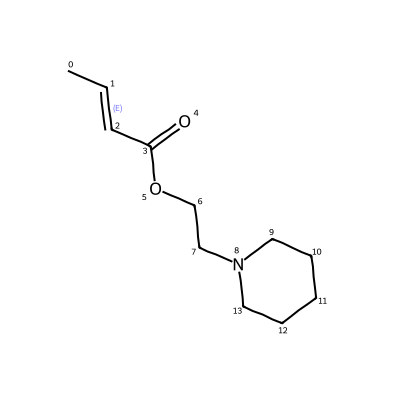 C/C=C/C(=O)OCCN1CCCCC1